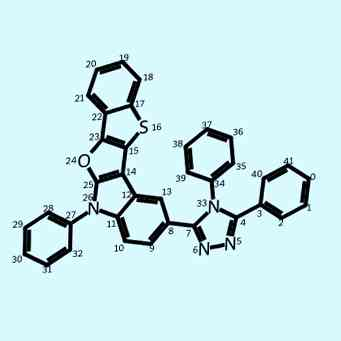 c1ccc(-c2nnc(-c3ccc4c(c3)c3c5sc6ccccc6c5oc3n4-c3ccccc3)n2-c2ccccc2)cc1